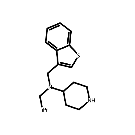 CC(C)CN(Cc1csc2ccccc12)C1CCNCC1